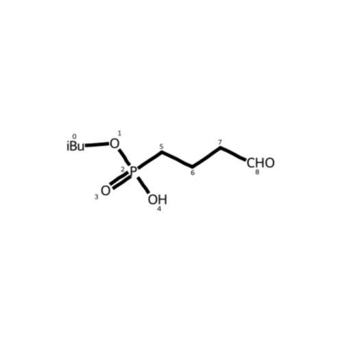 CCC(C)OP(=O)(O)CCCC=O